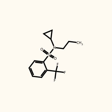 CCCN(C1CC1)S(=O)(=O)c1ccccc1C(F)(F)F